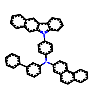 c1ccc(-c2cccc(N(c3ccc(-n4c5ccccc5c5cc6ccccc6cc54)cc3)c3ccc4c(ccc5ccccc54)c3)c2)cc1